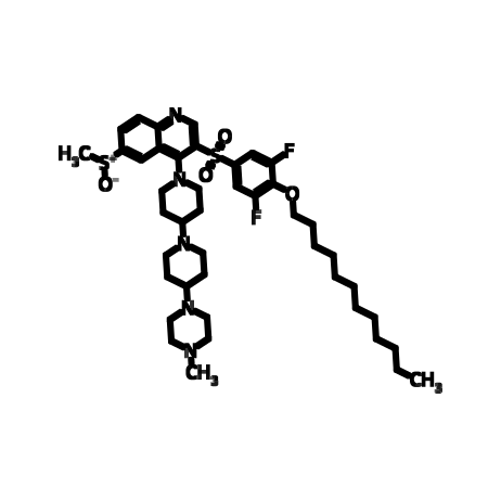 CCCCCCCCCCCCOc1c(F)cc(S(=O)(=O)c2cnc3ccc([S+](C)[O-])cc3c2N2CCC(N3CCC(N4CCN(C)CC4)CC3)CC2)cc1F